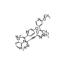 C=C(O/C(C#C/C(=N/N)N(C(=C)c1ccc(Cl)cn1)c1ccccc1Cl)=N\N)c1ccnc(OC)c1